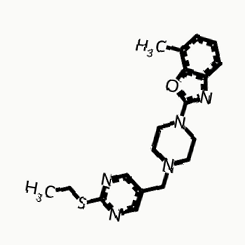 CCSc1ncc(CN2CCN(c3nc4cccc(C)c4o3)CC2)cn1